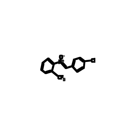 [O-][N+](=Cc1ccc(Cl)cc1)c1ccccc1C(F)(F)F